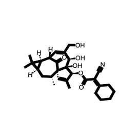 CC1=C[C@]23C(=O)[C@@H](C=C(CO)[C@@H](O)[C@]2(O)[C@H]1OC(=O)C(C#N)=C1CCCCC1)[C@H]1[C@@H](C[C@H]3C)C1(C)C